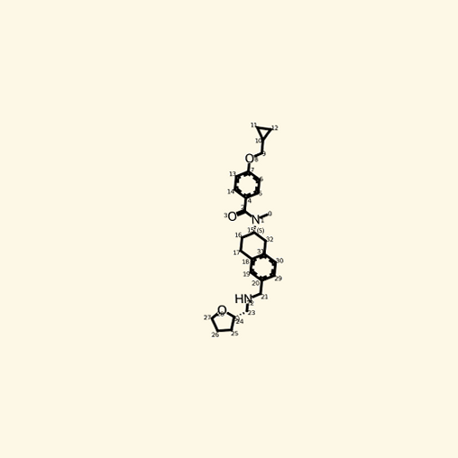 CN(C(=O)c1ccc(OCC2CC2)cc1)[C@H]1CCc2cc(CNC[C@@H]3CCCO3)ccc2C1